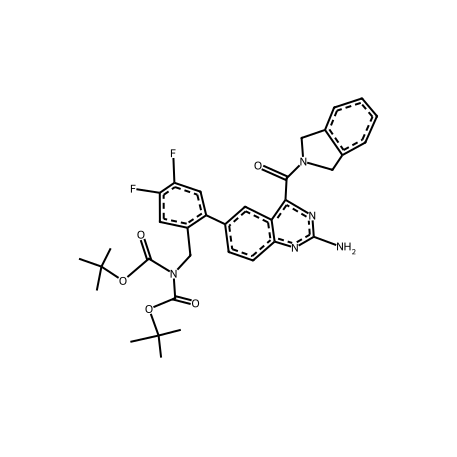 CC(C)(C)OC(=O)N(Cc1cc(F)c(F)cc1-c1ccc2nc(N)nc(C(=O)N3Cc4ccccc4C3)c2c1)C(=O)OC(C)(C)C